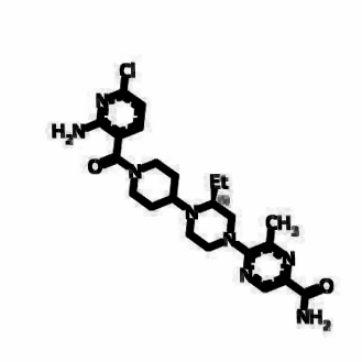 CC[C@H]1CN(c2ncc(C(N)=O)nc2C)CCN1C1CCN(C(=O)c2ccc(Cl)nc2N)CC1